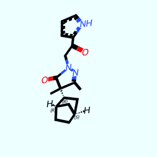 CC1=NN(CC(=O)c2ccc[nH]2)C(=O)C1(C)[C@@H]1C[C@H]2CC[C@@H]1C2